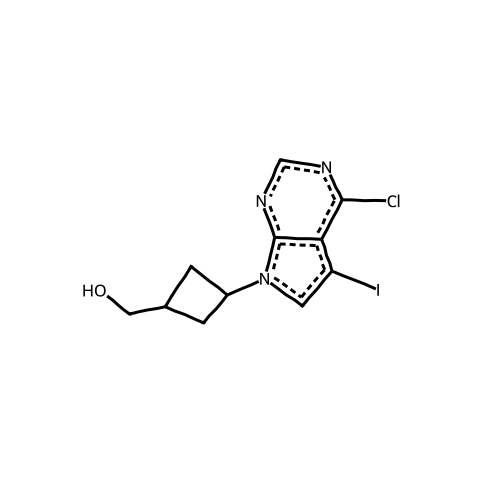 OCC1CC(n2cc(I)c3c(Cl)ncnc32)C1